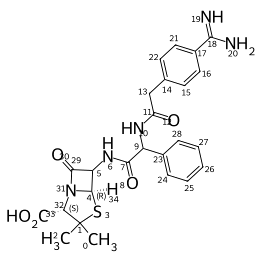 CC1(C)S[C@@H]2C(NC(=O)C(NC(=O)Cc3ccc(C(=N)N)cc3)c3ccccc3)C(=O)N2[C@H]1C(=O)O